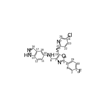 Fc1ccc(-c2nc(CNc3ccc4[nH]ncc4c3)c(Sc3ccc(Cl)cn3)o2)cc1